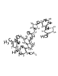 Cc1cnc(Nc2cc(C)n(C)n2)nc1-c1c[nH]c2c(NC(=O)CN3CC[C@H](Oc4cc(N5CC[C@H](O)C5)ncn4)C3)cccc12